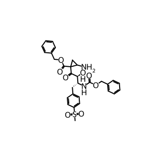 CS(=O)(=O)c1ccc(C[C@@H](NC(=O)OCc2ccccc2)[C@H](O)C(=O)C2(C(=O)OCc3ccccc3)CC2N)cc1